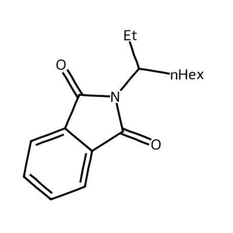 CCCCCCC(CC)N1C(=O)c2ccccc2C1=O